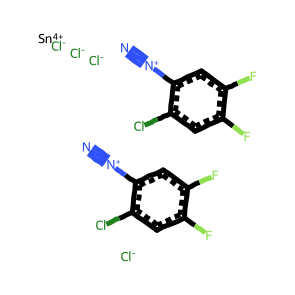 N#[N+]c1cc(F)c(F)cc1Cl.N#[N+]c1cc(F)c(F)cc1Cl.[Cl-].[Cl-].[Cl-].[Cl-].[Sn+4]